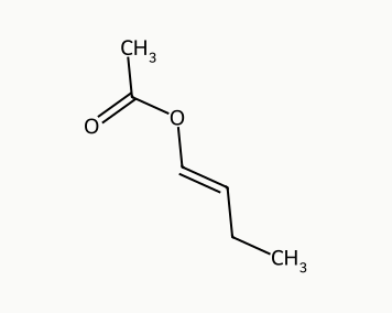 CCC=COC(C)=O